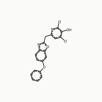 Oc1c(Cl)cc(Cc2nc3ccc(Oc4ccccc4)cc3o2)nc1Cl